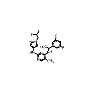 [CH2][C](Nc1nc(Nc2cnn(CC(F)F)c2)ncc1C)c1cc(F)cc(F)c1